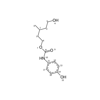 CC(CCO)CCOC(=O)Nc1ccc(O)cc1